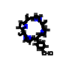 Cc1c2nc(c(C)c3ccc([nH]3)c(-c3ccc(C=O)cc3)c3nc(c(C)c4ccc1[nH]4)C=C3)C=C2